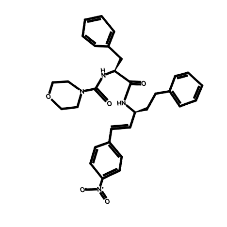 O=C(N[C@H](C=Cc1ccc([N+](=O)[O-])cc1)CCc1ccccc1)[C@H](Cc1ccccc1)NC(=O)N1CCOCC1